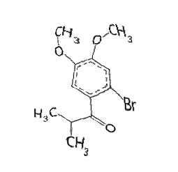 COc1cc(Br)c(C(=O)C(C)C)cc1OC